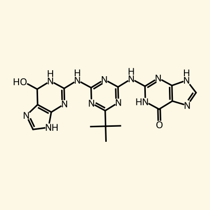 CC(C)(C)c1nc(NC2=Nc3[nH]cnc3C(O)N2)nc(Nc2nc3[nH]cnc3c(=O)[nH]2)n1